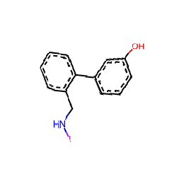 Oc1cccc(-c2ccccc2CNI)c1